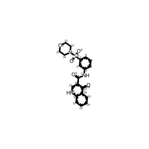 O=C(Nc1cccc(S(=O)(=O)N2CCOCC2)c1)c1c[nH]c2ccccc2c1=O